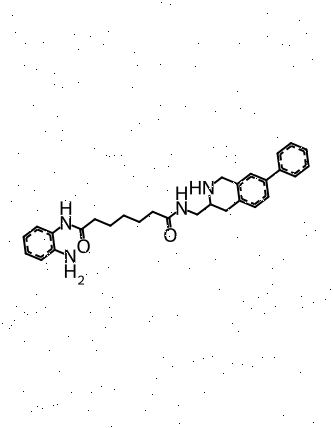 Nc1ccccc1NC(=O)CCCCCC(=O)NCC1Cc2ccc(-c3ccccc3)cc2CN1